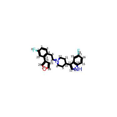 Fc1ccc(CCN2CCC(c3c[nH]c4ccc(F)cc34)CC2)c(-c2ccoc2)c1